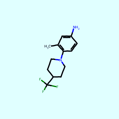 Cc1cc(N)ccc1N1CCC(C(F)(F)F)CC1